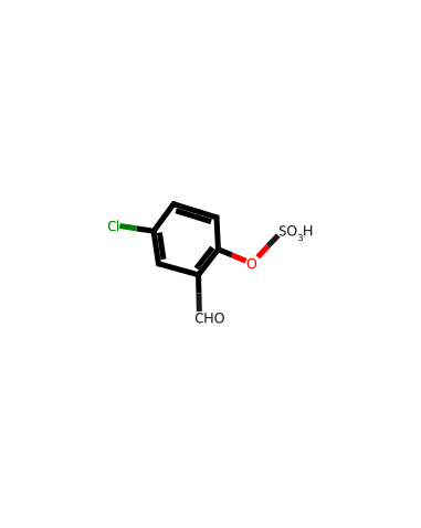 O=Cc1cc(Cl)ccc1OS(=O)(=O)O